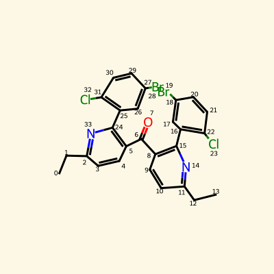 CCc1ccc(C(=O)c2ccc(CC)nc2-c2cc(Br)ccc2Cl)c(-c2cc(Br)ccc2Cl)n1